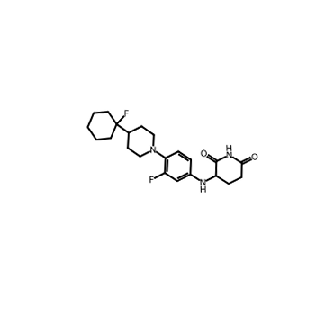 O=C1CCC(Nc2ccc(N3CCC(C4(F)CCCCC4)CC3)c(F)c2)C(=O)N1